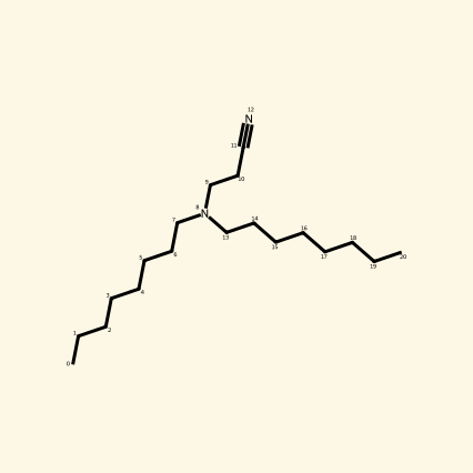 CCCCCCCCN(CCC#N)CCCCCCCC